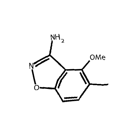 COc1c(C)ccc2onc(N)c12